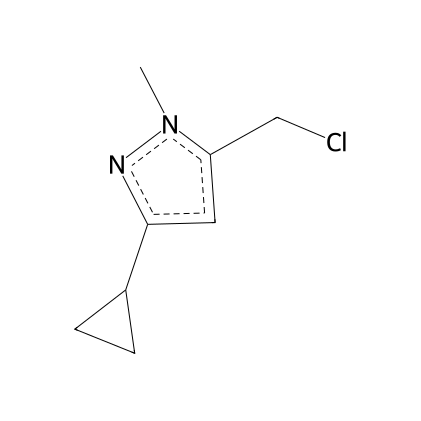 Cn1nc(C2CC2)cc1CCl